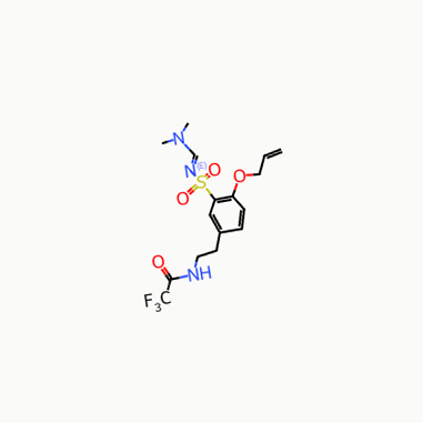 C=CCOc1ccc(CCNC(=O)C(F)(F)F)cc1S(=O)(=O)/N=C/N(C)C